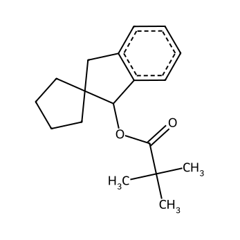 CC(C)(C)C(=O)OC1c2ccccc2CC12CCCC2